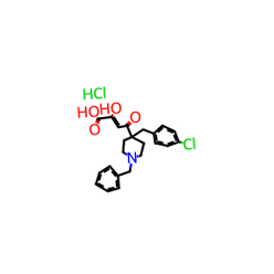 Cl.O=C(O)C(O)=CC(=O)C1(Cc2ccc(Cl)cc2)CCN(Cc2ccccc2)CC1